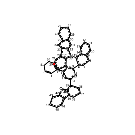 C1=CC(c2nc(-c3ccc4ccccc4c3-n3c4ccccc4c4cc5ccccc5cc43)nc(-c3cccc4c3sc3ccccc34)n2)=CCC1